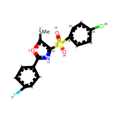 CSc1oc(-c2ccc(F)cc2)nc1S(=O)(=O)c1ccc(Cl)cc1